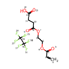 C=CC(=O)OCCOC(=O)CCC(=O)O.FC(F)(F)C(F)(F)F